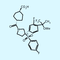 COC(C)(c1ccc([C@]2(S(=O)(=O)c3ccc(F)cc3)CCN(C(=O)[C@H]3CC[C@H](C(=O)O)CC3)C2)cc1F)C(F)(F)F